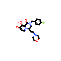 O=C1c2c(O)c(=O)ccn2C(CCN2CCOCC2)CN1Cc1ccc(F)cc1